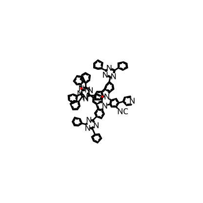 [C-]#[N+]c1cc(-n2c3ccc(-c4nc(-c5ccccc5)nc(-c5ccccc5)n4)cc3c3cc(-c4nc(-c5ccccc5)nc(-c5ccccc5)n4)ccc32)c(-n2c3ccc(-c4nc(-c5ccccc5)nc(-c5ccccc5)n4)cc3c3cc(-c4nc(-c5ccccc5)nc(-c5ccccc5)n4)ccc32)cc1-c1ccncc1